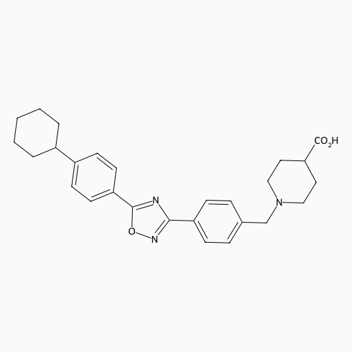 O=C(O)C1CCN(Cc2ccc(-c3noc(-c4ccc(C5CCCCC5)cc4)n3)cc2)CC1